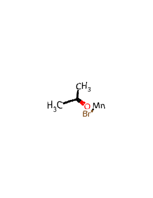 CC(C)=O.[Mn][Br]